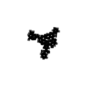 CCC[C@H](NC(=O)[C@@H]1CN(C(=O)Nc2ccccc2)C[C@@H]1NC(=O)[C@@H](NC(=O)[C@@H](NC(=O)c1cnccn1)C1CCCCC1)C(C)(C)C)C(=O)C(=O)NCC(=O)N[C@H](C(=O)N(C)C)C(C)(C)C